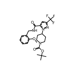 COc1ccccc1CNC(=O)c1cc(C(F)(F)F)nn1C1CCN(C(=O)OC(C)(C)C)CC1